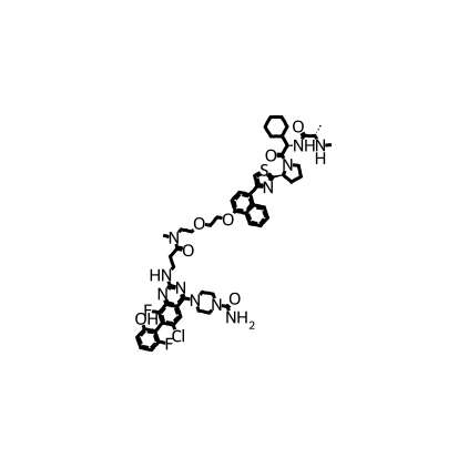 CN[C@@H](C)C(=O)N[C@H](C(=O)N1CCC[C@H]1c1nc(-c2ccc(OCCOCCN(C)C(=O)CCNc3nc(N4CCN(C(N)=O)CC4)c4cc(Cl)c(-c5c(O)cccc5F)c(F)c4n3)c3ccccc23)cs1)C1CCCCC1